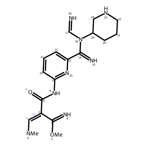 CN/C=C(\C(=N)OC)C(=O)Nc1cccc(C(=N)N(C=N)C2CCCNC2)n1